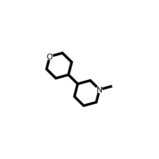 CN1CCCC(C2CCOCC2)C1